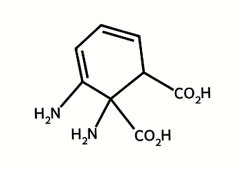 NC1=CC=CC(C(=O)O)C1(N)C(=O)O